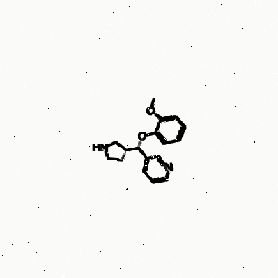 COc1ccccc1O[C@H](c1cccnc1)[C@@H]1CCNC1